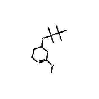 COC1=NCCC(O[Si](C)(C)C(C)(C)C)C1